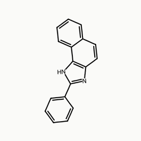 c1ccc(-c2nc3ccc4ccccc4c3[nH]2)cc1